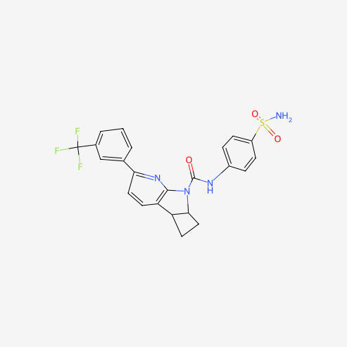 NS(=O)(=O)c1ccc(NC(=O)N2c3nc(-c4cccc(C(F)(F)F)c4)ccc3C3CCC32)cc1